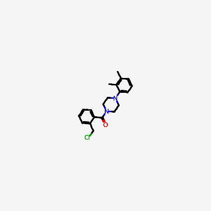 Cc1cccc(N2CCN(C(=O)c3ccccc3CCl)CC2)c1C